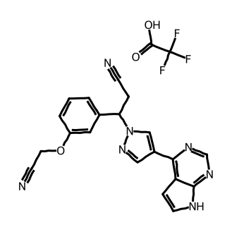 N#CCOc1cccc(C(CC#N)n2cc(-c3ncnc4[nH]ccc34)cn2)c1.O=C(O)C(F)(F)F